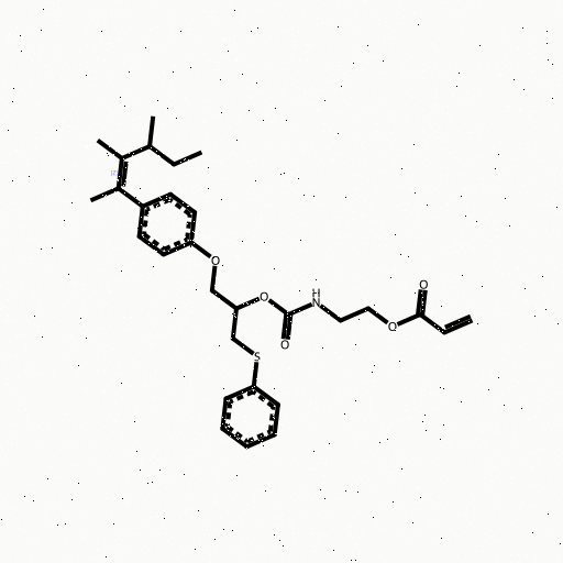 C=CC(=O)OCCNC(=O)OC(COc1ccc(/C(C)=C(/C)C(C)CC)cc1)CSc1ccccc1